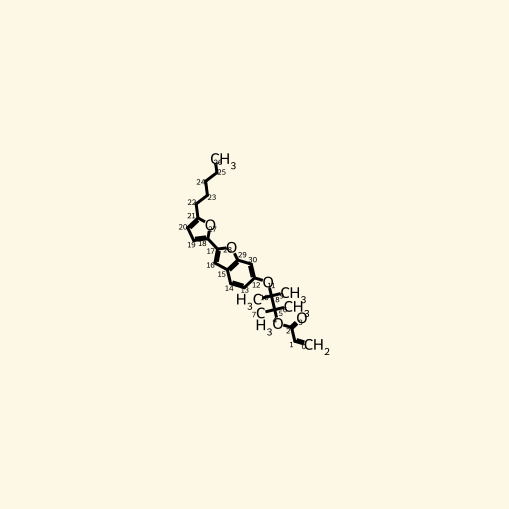 C=CC(=O)OC(C)(C)C(C)(C)Oc1ccc2cc(-c3ccc(CCCCC)o3)oc2c1